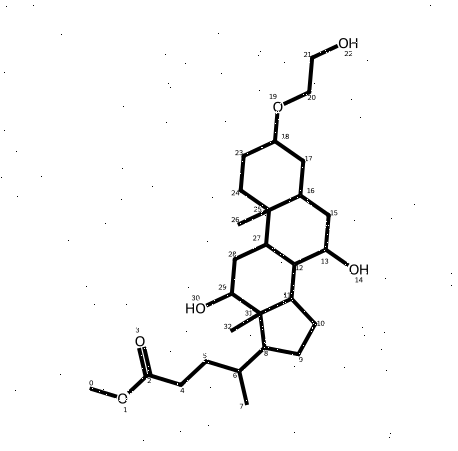 COC(=O)CCC(C)C1CCC2C3C(O)CC4CC(OCCO)CCC4(C)C3CC(O)C12C